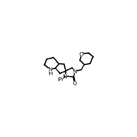 CC(C)N1C(=O)N(CC2CCCOC2)CC12CC1CCCNC1C2